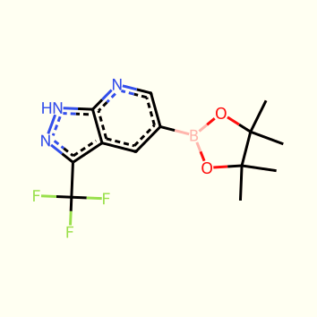 CC1(C)OB(c2cnc3[nH]nc(C(F)(F)F)c3c2)OC1(C)C